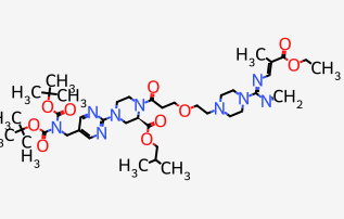 C=N/C(=N\C=C(/C)C(=O)OCC)N1CCN(CCOCCC(=O)N2CCN(c3ncc(CN(C(=O)OC(C)(C)C)C(=O)OC(C)(C)C)cn3)C[C@@H]2C(=O)OCC(C)C)CC1